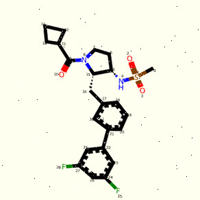 CS(=O)(=O)N[C@H]1CCN(C(=O)C2CCC2)[C@H]1Cc1cccc(-c2cc(F)cc(F)c2)c1